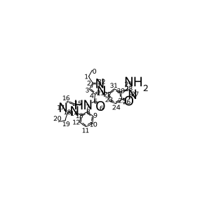 CCc1cc(C(=O)Nc2ccccc2-n2ccnc2CC)n(-c2ccc3onc(N)c3c2)n1